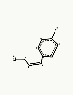 Fc1ccc(/C=C\CCl)cc1